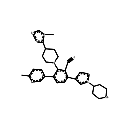 Cn1cnnc1C1CCN(c2c(-c3ccc(F)nc3)ccc(-c3cnn(C4CCNCC4)c3)c2C#N)CC1